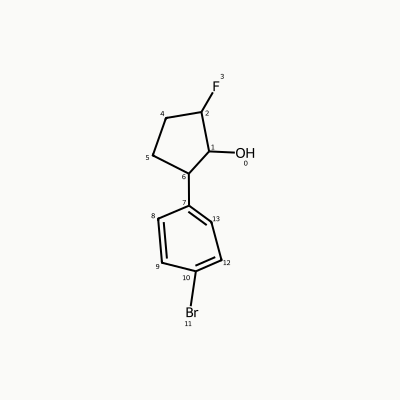 OC1C(F)CCC1c1ccc(Br)cc1